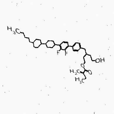 C=C(CC)C(=O)OCCC(CCO)Cc1ccc(-c2ccc(C3CCC(C4CCC(CCCCC)CC4)CC3)c(F)c2F)cc1